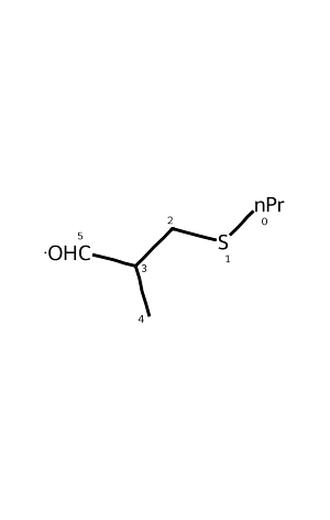 CCCSCC(C)[C]=O